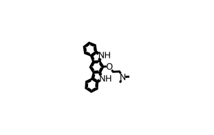 CN(C)CCOc1c2[nH]c3ccccc3c2cc2c1[nH]c1ccccc12